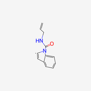 C=CCNC(=O)n1[c]cc2ccccc21